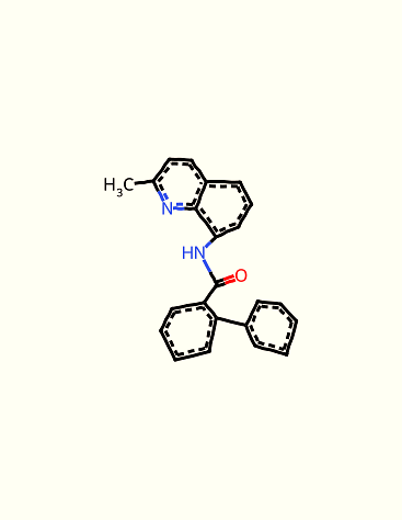 Cc1ccc2cccc(NC(=O)c3ccccc3-c3ccccc3)c2n1